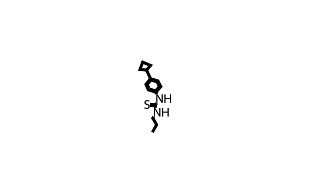 CCCNC(=S)Nc1ccc(C2CCC2)cc1